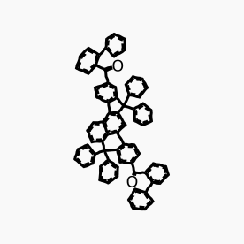 O=C(c1ccc2c(c1)C(c1ccccc1)(c1ccccc1)c1cc3c4c(cccc4c1-2)C(c1ccccc1)(c1ccccc1)c1cc(C(=O)c2ccccc2-c2ccccc2)ccc1-3)c1ccccc1-c1ccccc1